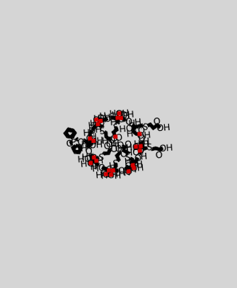 O=C(O)CCSC[C@H]1O[C@@H]2O[C@H]3[C@H](O)[C@@H](O)[C@@H](O[C@H]4[C@H](O)[C@@H](O)[C@@H](O[C@H]5[C@H](O)[C@@H](O)[C@@H](O[C@H]6[C@H](O)C[C@@](O)(O[C@H]7[C@H](O)[C@@H](O)[C@@H](O[C@H]8[C@H](O)[C@@H](O)[C@@H](O[C@H]9[C@H](O)[C@@H](O)[C@@H](O[C@H]1[C@H](O)[C@H]2O)O[C@@H]9CSCCC(=O)O)O[C@@H]8CSCCC(=O)O)O[C@@H]7CSCCC(=O)O)O[C@@H]6CSCCC(=O)O)O[C@@H]5CSCCC(=O)O)O[C@@H]4CSCCC(=O)O)O[C@@H]3COCP(=O)(c1ccccc1)c1ccccc1